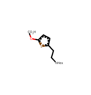 CCCCCCCCc1ccc(OC(=O)O)s1